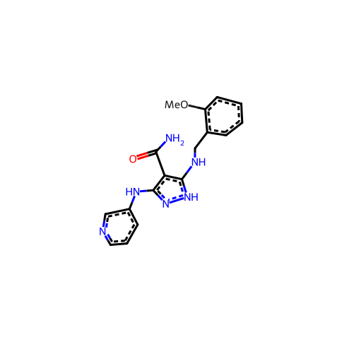 COc1ccccc1CNc1[nH]nc(Nc2cccnc2)c1C(N)=O